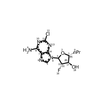 C[CH]C[C@H]1OC(n2cnc3c(N)nc(Cl)nc32)[C@@H](F)[C@@H]1O